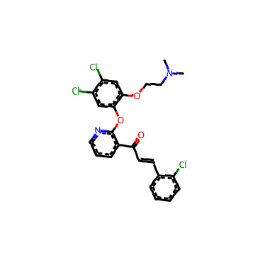 CN(C)CCOc1cc(Cl)c(Cl)cc1Oc1ncccc1C(=O)C=Cc1ccccc1Cl